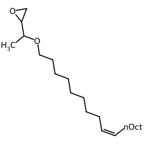 CCCCCCCC/C=C\CCCCCCCCOC(C)C1CO1